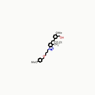 CCOC(=O)C(Cc1ccc2c(nnn2CCCCOCc2ccc(OC)cc2)c1C)c1ccc(OC)c(CO)c1